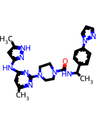 Cc1cc(Nc2cc(C)[nH]n2)nc(N2CCN(C(=O)NC(C)c3ccc(-n4cccn4)cc3)CC2)n1